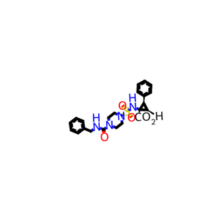 C[C@@H]1[C@H](c2ccccc2)[C@]1(NS(=O)(=O)N1CCN(C(=O)NCc2ccccc2)CC1)C(=O)O